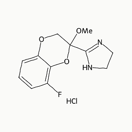 COC1(C2=NCCN2)COc2cccc(F)c2O1.Cl